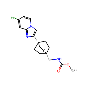 CC(C)(C)OC(=O)NC[C@]12CC[C@](c3cn4ccc(Br)cc4n3)(CC1)CC2